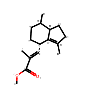 COC(=O)/C(C)=C/[C@@H]1CCC(C)C2CCC(C)=C21